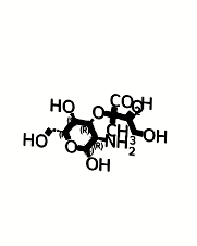 CC(O[C@@H]1[C@@H](N)[C@@H](O)O[C@H](CO)[C@H]1O)(C(=O)O)C(=O)CO